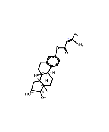 CC(=O)/C(N)=C/C(=O)Oc1ccc2c(c1)CC[C@@H]1[C@@H]2CC[C@]2(C)[C@@H](O)[C@H](O)C[C@@H]12